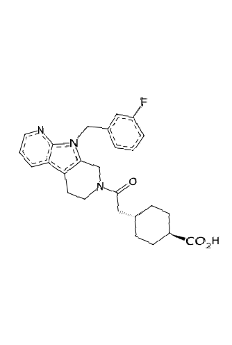 O=C(C[C@H]1CC[C@H](C(=O)O)CC1)N1CCc2c(n(Cc3cccc(F)c3)c3ncccc23)C1